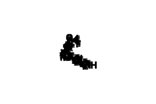 O=C([C@@H]1C[C@H]1F)N1CCN(c2ccnn3cc(-c4ccc(N5CCNCC5)nc4)cc23)CC1